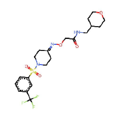 O=C(CON=C1CCN(S(=O)(=O)c2cccc(C(F)(F)F)c2)CC1)NCC1CCOCC1